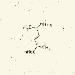 CCCCCCC(C)C=CC(C)CCCCCC